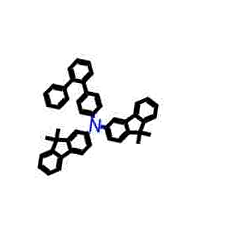 CC1(C)c2ccccc2-c2cc(N(c3ccc(-c4ccccc4-c4ccccc4)cc3)c3ccc4c(c3)C(C)(C)c3ccccc3-4)ccc21